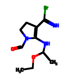 CCOC(C)NC1=C(C(=N)Br)CCN1C=O